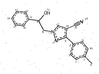 Cc1ccc(-c2nn(CC(O)c3ccccc3)cc2C#N)cc1